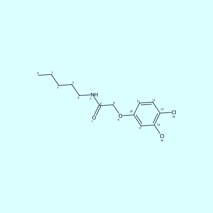 CCCCCNC(=O)COc1ccc(Cl)c(Cl)c1